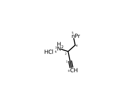 C#CC(N)CCCC.Cl